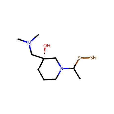 CC(SS)N1CCC[C@@](O)(CN(C)C)C1